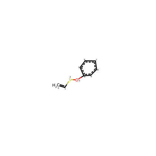 C=CSOc1ccccc1